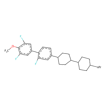 CCCC1CCC(C2CCC(c3ccc(-c4cc(F)c(OC(F)(F)F)c(F)c4)c(F)c3)CC2)CC1